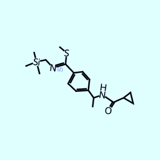 CS/C(=N\C[Si](C)(C)C)c1ccc(C(C)NC(=O)C2CC2)cc1